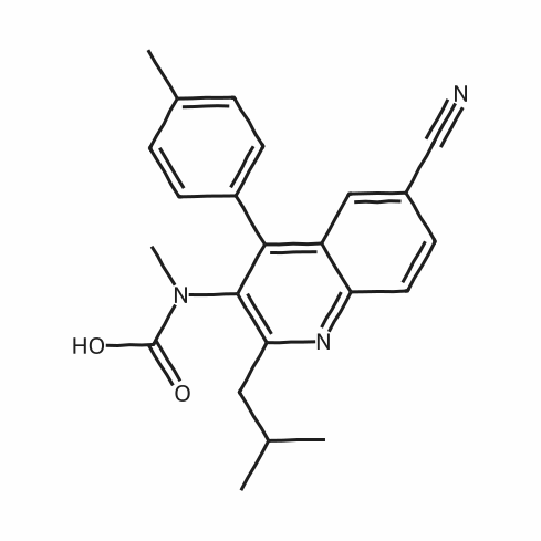 Cc1ccc(-c2c(N(C)C(=O)O)c(CC(C)C)nc3ccc(C#N)cc23)cc1